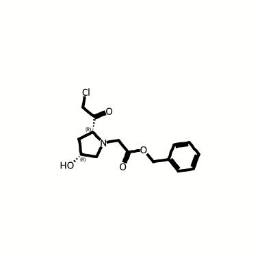 O=C(CN1C[C@H](O)C[C@@H]1C(=O)CCl)OCc1ccccc1